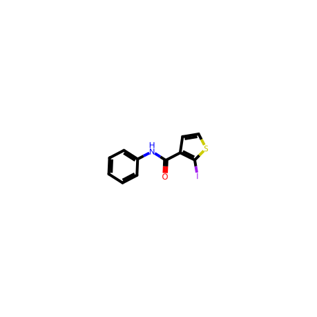 O=C(Nc1ccccc1)c1ccsc1I